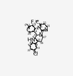 Cc1ccc(C2c3[nH]c4ccc(Cl)cc4c3CCN2c2nccc(C(F)(F)F)n2)cc1